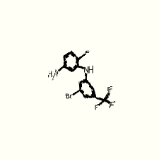 Nc1ccc(F)c(Nc2cc(Br)cc(C(F)(F)F)c2)c1